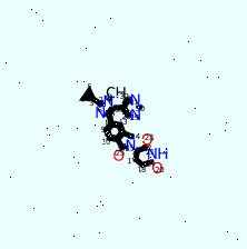 Cn1c(C2CC2)nc(-c2ccc3c(c2)CN(C2CCC(=O)NC2=O)C3=O)c1-c1cncnc1